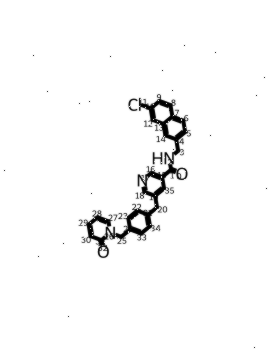 O=C(NCc1ccc2ccc(Cl)cc2c1)c1cncc(Cc2ccc(Cn3ccccc3=O)cc2)c1